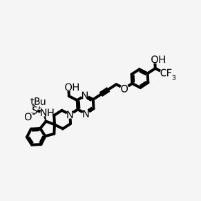 CC(C)(C)[S+]([O-])N[C@@H]1c2ccccc2CC12CCN(c1ncc(C#CCOc3ccc(C(O)C(F)(F)F)cc3)nc1CO)CC2